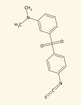 CN(C)c1cccc(S(=O)(=O)c2ccc(N=C=S)cc2)c1